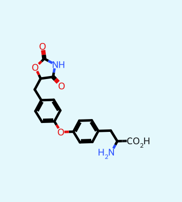 NC(Cc1ccc(Oc2ccc(CC3OC(=O)NC3=O)cc2)cc1)C(=O)O